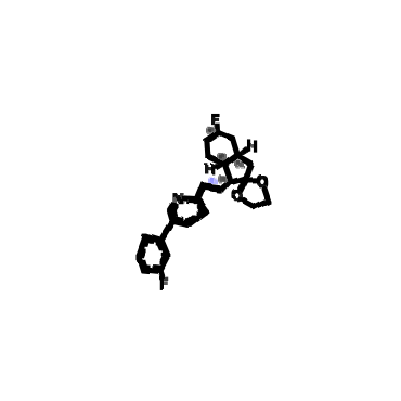 Fc1cccc(-c2ccc(/C=C/[C@H]3[C@@H]4CC[C@@H](F)C[C@@H]4CC34OCCO4)nc2)c1